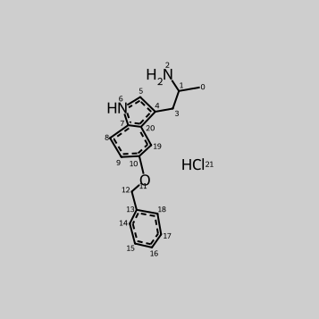 CC(N)Cc1c[nH]c2ccc(OCc3ccccc3)cc12.Cl